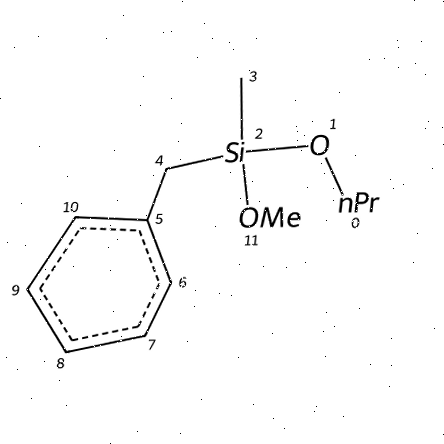 CCCO[Si](C)(Cc1ccccc1)OC